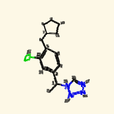 CC(c1ccc(CC2CCCC2)c(Cl)c1)n1cnnn1